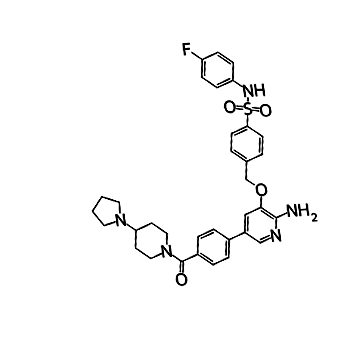 Nc1ncc(-c2ccc(C(=O)N3CCC(N4CCCC4)CC3)cc2)cc1OCc1ccc(S(=O)(=O)Nc2ccc(F)cc2)cc1